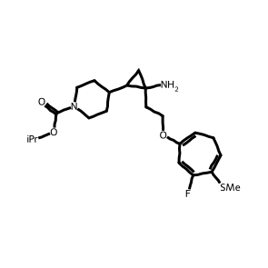 CSC1=CCC=C(OCCC2(N)CC2C2CCN(C(=O)OC(C)C)CC2)C=C1F